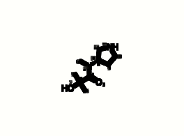 CN(C(=O)C(C)(C)O)[C@@H]1CCNC1